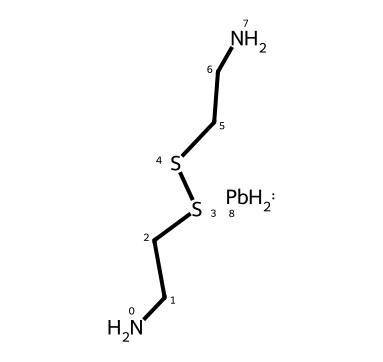 NCCSSCCN.[PbH2]